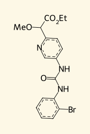 CCOC(=O)C(OC)c1ccc(NC(=O)Nc2ccccc2Br)cn1